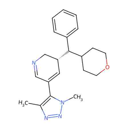 Cc1nnn(C)c1C1=C[C@@H](C(c2ccccc2)C2CCOCC2)CN=C1